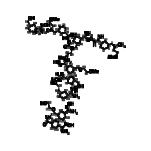 COCCN(C)Cc1cccc(C(=N)NO/N=C(\N)c2cccc(CN(CCOC)C(=O)ONC(=N)c3cccc(CN(C)CCOC)c3)c2)c1.COCCOCc1cccc(C(N)=NO)c1.NC(=NO)c1ccc(CO)cc1.NC(=NO)c1cccc(CCO)c1.NC(=NO)c1cccc(CO)c1.NC(=NO)c1cccc(COCCO)c1.NC(=O)c1ccc(C(N)=NO)cc1